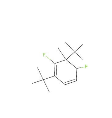 CC(C)(C)C1=C(F)C(C)(C(C)(C)C)C(F)C=C1